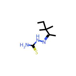 CCC(C)(C)/C(C)=N\NC(N)=S